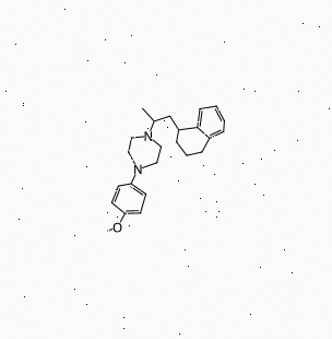 COc1ccc(N2CCN(C(C)CC3CCCc4ccccc43)CC2)cc1